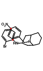 O=[N+]([O-])c1ccc(CN2C3CCCC2CC(Nc2ccccc2Br)C3)cc1